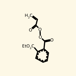 C=CC(=O)OOC(=O)c1ccccc1C(=O)OCC